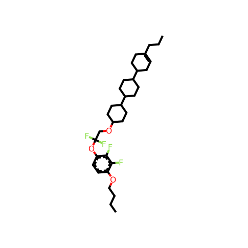 CCCCOc1ccc(OC(F)(F)COC2CCC(C3CCC(C4CC=C(CCC)CC4)CC3)CC2)c(F)c1F